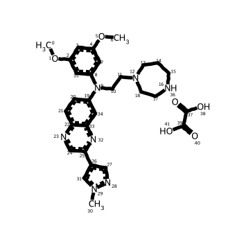 COc1cc(OC)cc(N(CCN2CCCNCC2)c2ccc3ncc(-c4cnn(C)c4)nc3c2)c1.O=C(O)C(=O)O